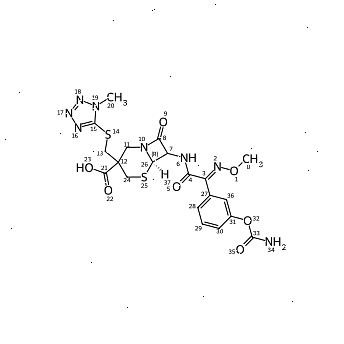 CON=C(C(=O)NC1C(=O)N2CC(CSc3nnnn3C)(C(=O)O)CS[C@H]12)c1cccc(OC(N)=O)c1